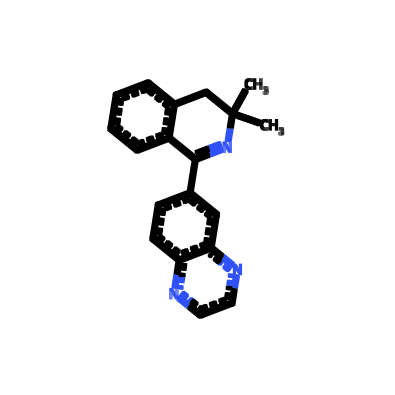 CC1(C)Cc2ccccc2C(c2ccc3nccnc3c2)=N1